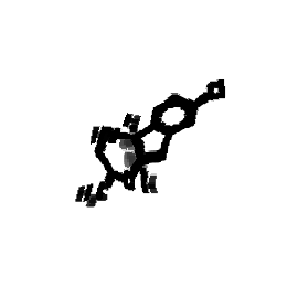 CC1CN[C@H]2c3ccc(Cl)cc3C[C@H]2O1